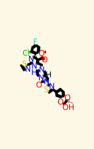 COC(=O)C1=C(CN2CCN3C(=O)N(c4nc(-c5ccc(O[C@H](C)C(=O)O)cc5)cs4)C[C@@H]3C2)NC(c2nccs2)=N[C@H]1c1ccc(F)cc1Cl